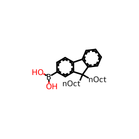 CCCCCCCCC1(CCCCCCCC)c2ccccc2-c2ccc(B(O)O)cc21